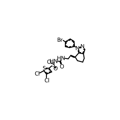 O=C(NCC=C1CCCc2cnn(-c3ccc(Br)cc3)c21)NS(=O)(=O)c1cc(Cl)c(Cl)s1